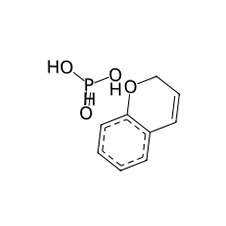 C1=Cc2ccccc2OC1.O=[PH](O)O